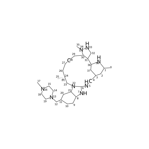 CC1CC2CNC3NC4CCC(CN5CCN(C)CC5)CC4N3C[C@H](C)CCCCC3C(CNN3C)C(C2)N1